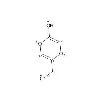 OC1=COC(CCl)=CO1